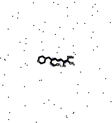 C\C=N/C(=C\C=C\C(C(C)=O)=C(\C)NC)CN1CCOCC1